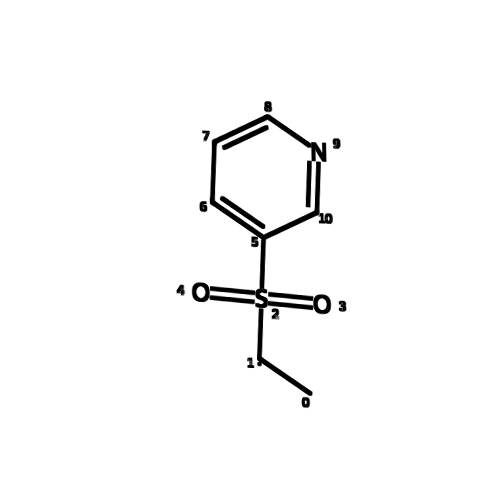 C[CH]S(=O)(=O)c1cccnc1